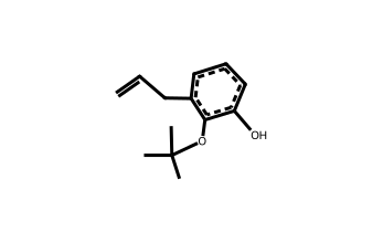 C=CCc1cccc(O)c1OC(C)(C)C